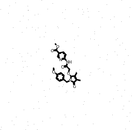 COC(=O)c1ccc(NC(=O)COC2C(C)=C(C)C(=O)N2Cc2ccc(OC)cc2)nc1